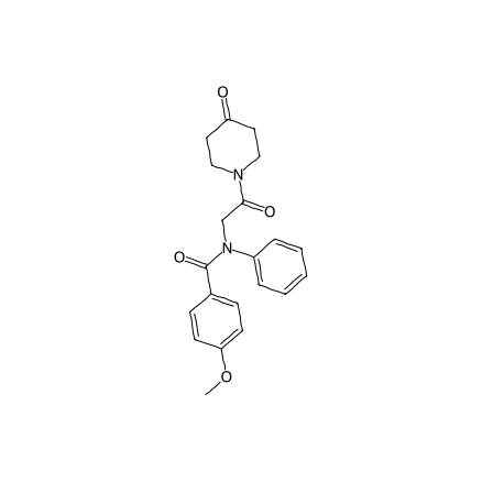 COc1ccc(C(=O)N(CC(=O)N2CCC(=O)CC2)c2ccccc2)cc1